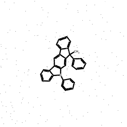 CC1(c2ccccc2)c2ccccc2-c2cc3c4ccccc4n(C4=C=C=CC=C4)c3cc21